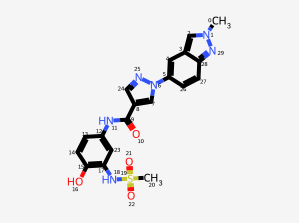 Cn1cc2cc(-n3cc(C(=O)Nc4ccc(O)c(NS(C)(=O)=O)c4)cn3)ccc2n1